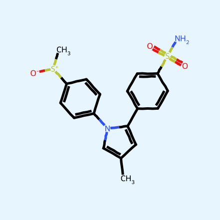 Cc1cc(-c2ccc(S(N)(=O)=O)cc2)n(-c2ccc([S+](C)[O-])cc2)c1